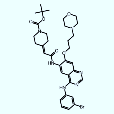 CC(C)(C)OC(=O)N1CCC(=CC(=O)Nc2cc3c(Nc4cccc(Br)c4)ncnc3cc2OCCCN2CCOCC2)CC1